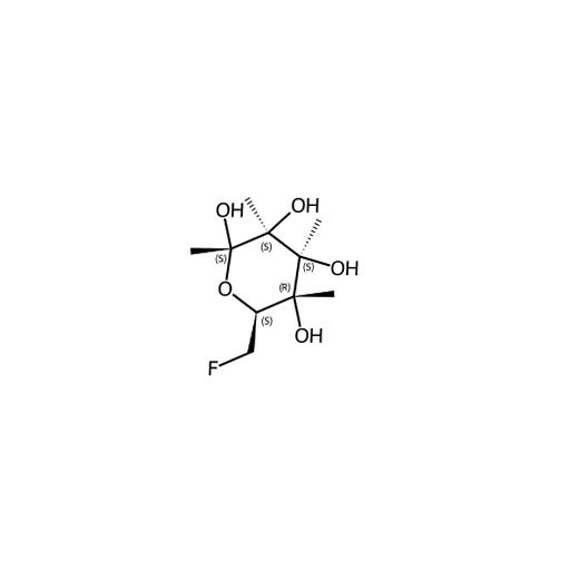 C[C@]1(O)[C@@](C)(O)[C@](C)(O)[C@@H](CF)O[C@]1(C)O